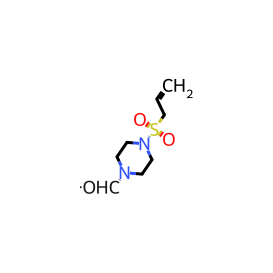 C=CCS(=O)(=O)N1CCN([C]=O)CC1